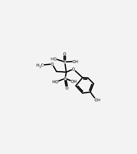 COCC(Oc1ccc(O)cc1)(P(=O)(O)O)P(=O)(O)O